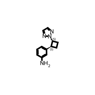 Nc1cccc([C@@H]2CC[C@@H]2n2nccn2)c1